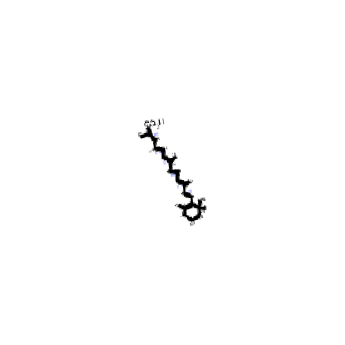 CC1=C(/C=C/C(C)=C/C=C/C(C)=C/C=C/C=C(\C)C(=O)O)C(C)(C)CCC1